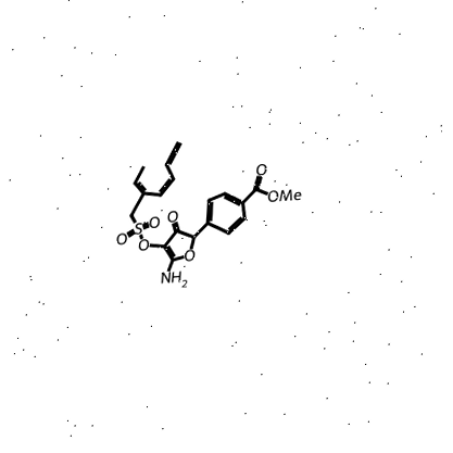 C=C/C=C\C(=C/C)CS(=O)(=O)OC1=C(N)OC(c2ccc(C(=O)OC)cc2)C1=O